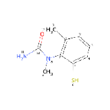 Cc1cccc(S)c1N(C)C(N)=O